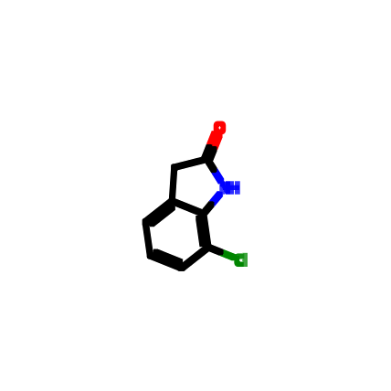 O=C1Cc2cccc(Cl)c2N1